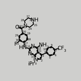 CC(C)n1cc(-c2ccc(C(F)(F)F)cc2)c2c(N)nc(Nc3ccc(C(=O)N4CCNCC4)cc3F)nc21